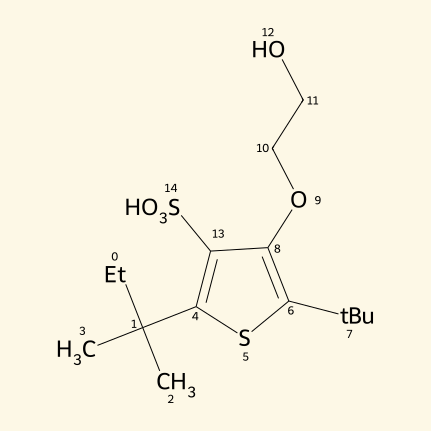 CCC(C)(C)c1sc(C(C)(C)C)c(OCCO)c1S(=O)(=O)O